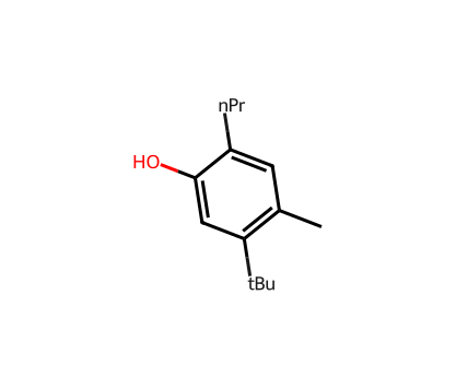 CCCc1cc(C)c(C(C)(C)C)cc1O